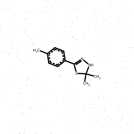 Cc1ccc(C2=NNC(C)(C)S2)cc1